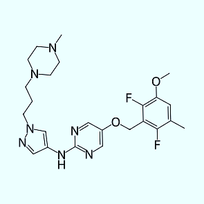 COc1cc(C)c(F)c(COc2cnc(Nc3cnn(CCCN4CCN(C)CC4)c3)nc2)c1F